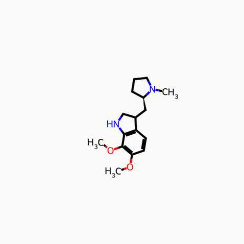 COc1ccc2c(c1OC)NCC2C[C@H]1CCCN1C